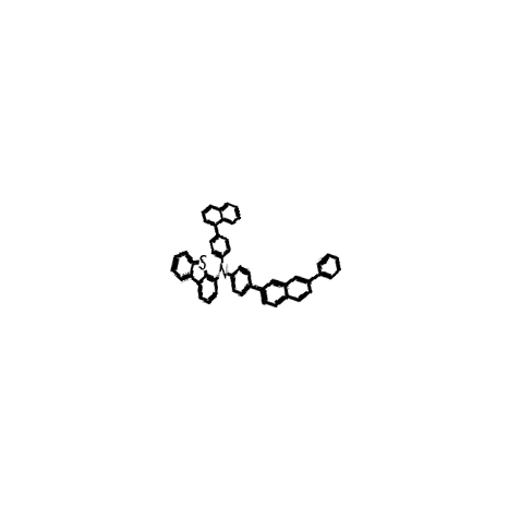 c1ccc(-c2ccc3ccc(-c4ccc(N(c5ccc(-c6cccc7ccccc67)cc5)c5cccc6c5sc5ccccc56)cc4)cc3c2)cc1